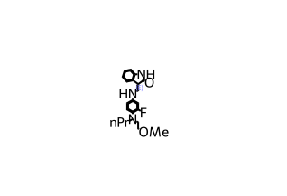 CCCN(CCOC)c1ccc(N/C=C2/C(=O)Nc3ccccc32)cc1F